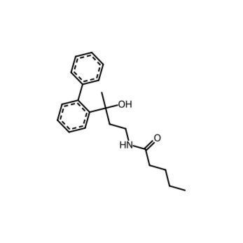 CCCCC(=O)NCCC(C)(O)c1ccccc1-c1ccccc1